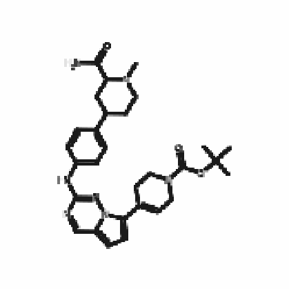 CN1CCC(c2ccc(Nc3ncc4ccc(C5=CCN(C(=O)OC(C)(C)C)CC5)n4n3)cc2)CC1C(N)=O